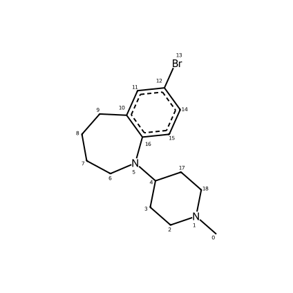 CN1CCC(N2CCCCc3cc(Br)ccc32)CC1